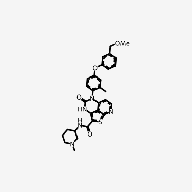 COCc1cccc(Oc2ccc(N3C(=O)Nc4c(C(=O)NC5CCCN(C)C5)sc5nccc3c45)c(C)c2)c1